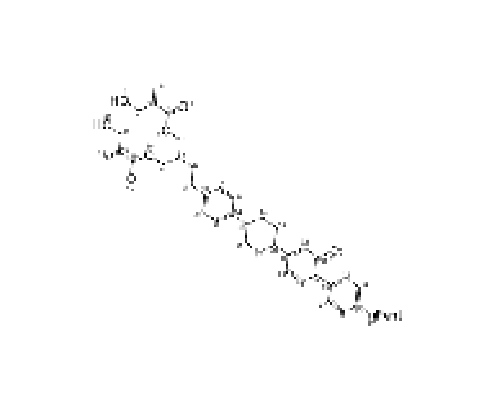 C=C(CO)C(=O)OCC(CCc1ccc(C2CCC(c3ccc(-c4ccc(CCCCC)cc4)c(CC)c3)CC2)cc1)COC(=O)C(=C)CO